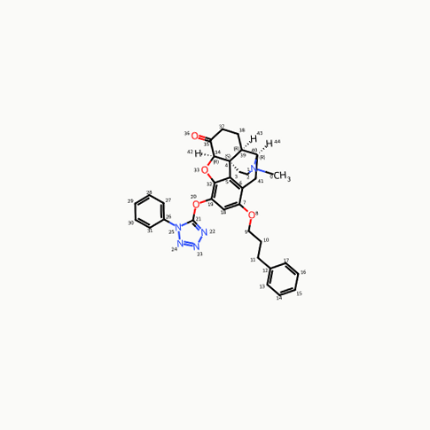 CN1CC[C@]23c4c5c(OCCCc6ccccc6)cc(Oc6nnnn6-c6ccccc6)c4O[C@H]2C(=O)CC[C@H]3[C@H]1C5